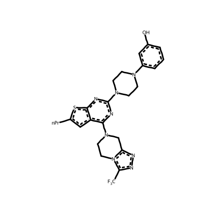 CCCc1cc2c(N3CCn4c(nnc4C(F)(F)F)C3)nc(N3CCN(c4cccc(O)c4)CC3)nc2s1